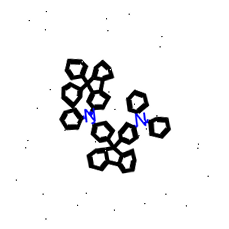 c1ccc(N(c2ccccc2)c2ccc(C3(c4ccc(N(c5ccccc5)c5ccc6c(c5)C(c5ccccc5)(c5ccccc5)c5ccccc5-6)cc4)c4ccccc4-c4ccccc43)cc2)cc1